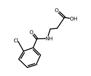 O=C(O)CCNC(=O)c1c[c]ccc1Cl